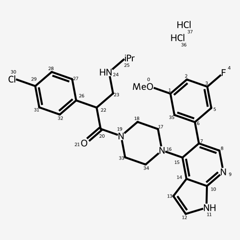 COc1cc(F)cc(-c2cnc3[nH]ccc3c2N2CCN(C(=O)C(CNC(C)C)c3ccc(Cl)cc3)CC2)c1.Cl.Cl